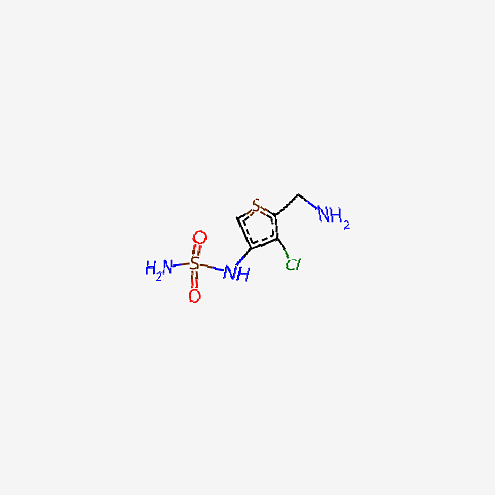 NCc1scc(NS(N)(=O)=O)c1Cl